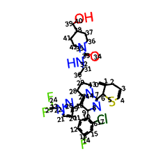 C=C1CC=CSC1C1=N[C@@H](c2ccc(F)cc2Cl)C(c2ccn(C(F)F)n2)=C2C[C@H](CCNC(=O)N3CCC(CO)CC3)CN12